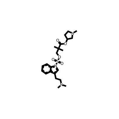 CN(C)CCc1cn(S(=O)(=O)OCC(C)(C)C(=O)OC2CCN(C)C2)c2ccccc12